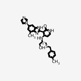 Cc1ccc(CSC[C@H](CO)Nc2cc[nH]c(=O)c2-c2nc3c(C)cc(-n4ccnc4)cc3[nH]2)cc1